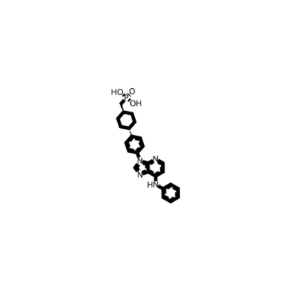 O=P(O)(O)C[C@H]1CC[C@H](c2ccc(-n3cnc4c(Nc5ccccc5)ccnc43)cc2)CC1